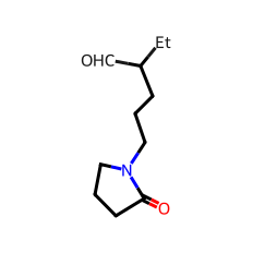 CCC(C=O)CCCN1CCCC1=O